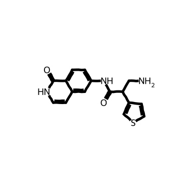 NCC(C(=O)Nc1ccc2c(=O)[nH]ccc2c1)c1ccsc1